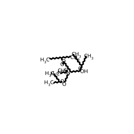 CCCCCCCCC(CCCCCC)COC(=O)CCCCCC(CCCCCC(O)OCC(CCCCCC)CCCCCCCC)N(CCCCCC(=O)OCC(CCCC)CCCCCC)C(=O)CCCN(C)C